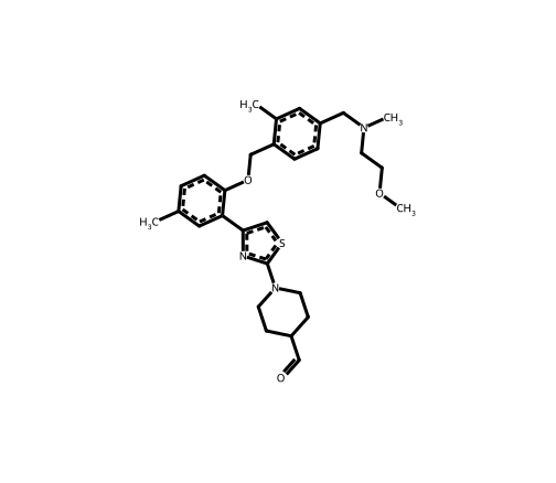 COCCN(C)Cc1ccc(COc2ccc(C)cc2-c2csc(N3CCC(C=O)CC3)n2)c(C)c1